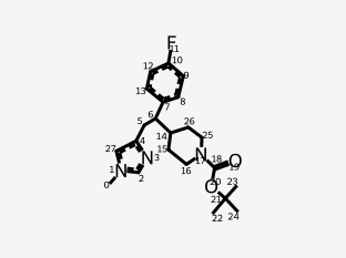 Cn1cnc(CC(c2ccc(F)cc2)C2CCN(C(=O)OC(C)(C)C)CC2)c1